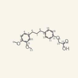 COc1ccc(CC[CH]c2ccc(OCC(=O)O)cc2)cc1OC